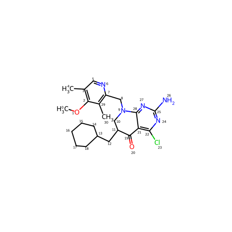 COc1c(C)cnc(CN2CC(CC3CCCCC3)C(=O)c3c(Cl)nc(N)nc32)c1C